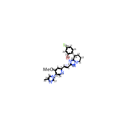 COc1cc(/C=C/c2nc3n(n2)CCC[C@H]3c2ccc(F)cc2Br)ncc1-n1cnc(C)c1